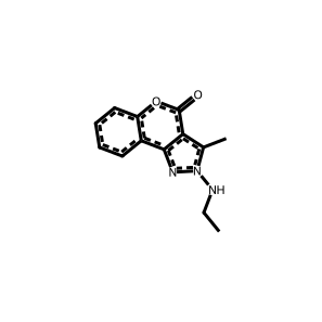 CCNn1nc2c(c1C)c(=O)oc1ccccc12